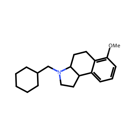 COc1cccc2c1CCC1C2CCN1CC1CCCCC1